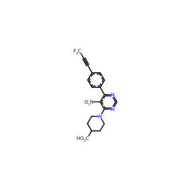 O=C(O)C1CCN(c2ncnc(-c3ccc(C#CC(F)(F)F)cc3)c2[N+](=O)[O-])CC1